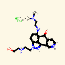 CN(C)CCNc1ccc2c3c(nn2CCNCCO)-c2cnccc2C(=O)c13.Cl.Cl